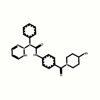 CCCC1CCN(C(=O)c2ccc(NC(=O)N(c3ccccc3)N3N=CC=CN3)cc2)CC1